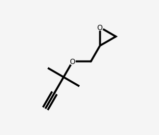 C#CC(C)(C)OCC1CO1